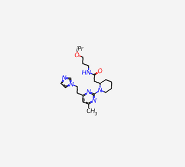 Cc1cc(CCn2ccnc2)nc(N2CCCCC2CC(=O)NCCCOC(C)C)n1